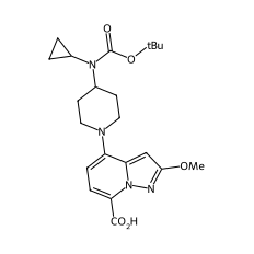 COc1cc2c(N3CCC(N(C(=O)OC(C)(C)C)C4CC4)CC3)ccc(C(=O)O)n2n1